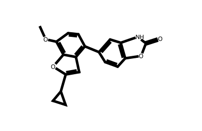 COc1ccc(-c2ccc3oc(=O)[nH]c3c2)c2cc(C3CC3)oc12